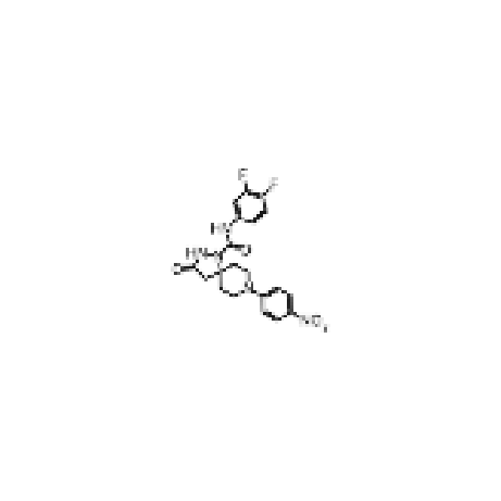 O=C1CC2(CCN(c3ccc([N+](=O)[O-])cc3)CC2)N(C(=O)Nc2ccc(F)c(F)c2)N1